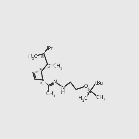 CC(=NNCCO[Si](C)(C)C(C)(C)C)[C@@H]1C=C[C@@H]1[C@@H](C)[C@@H](C)C(C)C